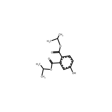 CC(C)OC(=O)c1ccc(O)cc1C(=O)OC(C)C